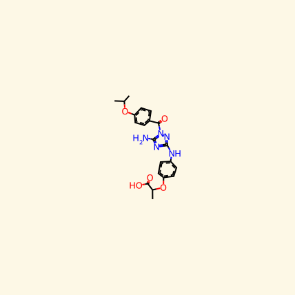 CC(C)Oc1ccc(C(=O)n2nc(Nc3ccc(OC(C)C(=O)O)cc3)nc2N)cc1